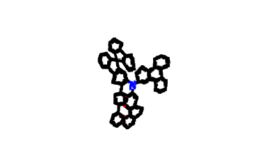 c1ccc(-c2ccc(-c3cc4c(cc3N(c3ccc5c(ccc6ccccc65)c3)c3ccc5c6ccccc6c6ccccc6c5c3)C3(c5ccccc5-c5ccccc53)c3ccccc3-4)cc2)cc1